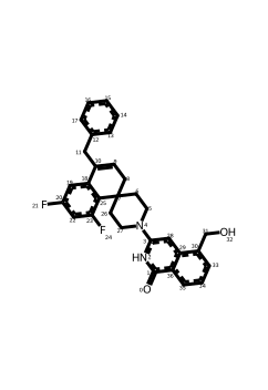 O=c1[nH]c(N2CCC3(CC=C(Cc4ccccc4)c4cc(F)cc(F)c43)CC2)cc2c(CO)cccc12